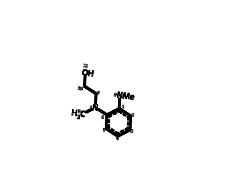 CNc1ccccc1N(C)CCO